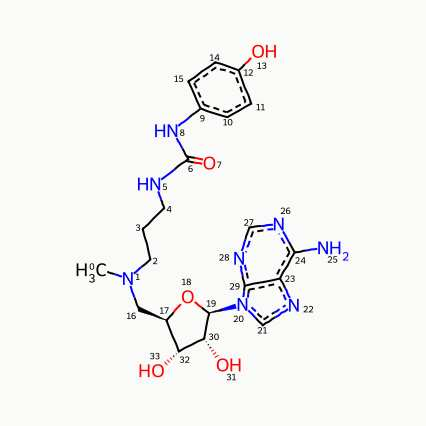 CN(CCCNC(=O)Nc1ccc(O)cc1)C[C@H]1O[C@@H](n2cnc3c(N)ncnc32)[C@H](O)[C@@H]1O